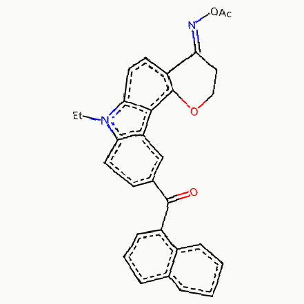 CCn1c2ccc(C(=O)c3cccc4ccccc34)cc2c2c3c(ccc21)/C(=N/OC(C)=O)CCO3